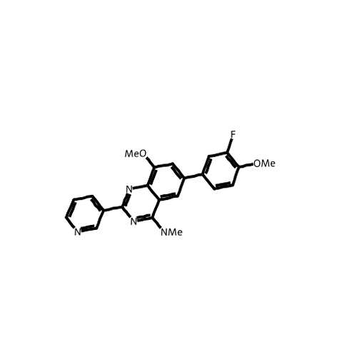 CNc1nc(-c2cccnc2)nc2c(OC)cc(-c3ccc(OC)c(F)c3)cc12